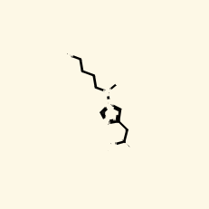 CN(CCCCN)n1cnc(C[C@H](N)C(=O)O)c1